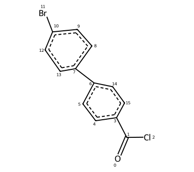 O=C(Cl)c1ccc(-c2ccc(Br)cc2)cc1